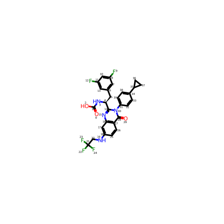 O=C(O)N[C@@H](Cc1cc(F)cc(F)c1)c1nc2cc(NCC(F)(F)F)ccc2c(=O)n1-c1ccc(C2CC2)cc1